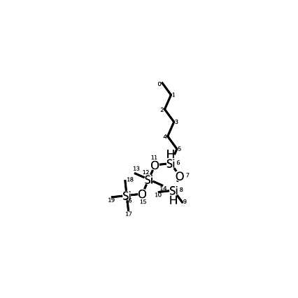 CCCCCC[SiH](O[SiH](C)C)O[Si](C)(C)O[Si](C)(C)C